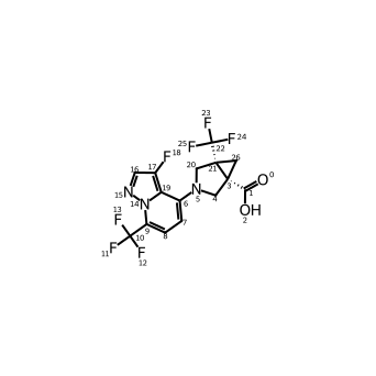 O=C(O)[C@]12CN(c3ccc(C(F)(F)F)n4ncc(F)c34)C[C@@]1(C(F)(F)F)C2